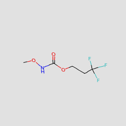 CONC(=O)OCCC(F)(F)F